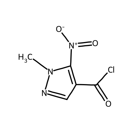 Cn1ncc(C(=O)Cl)c1[N+](=O)[O-]